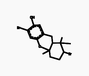 CC12CCC(Br)C(C)(C)C1Cc1cc(O)c(Br)cc1O2